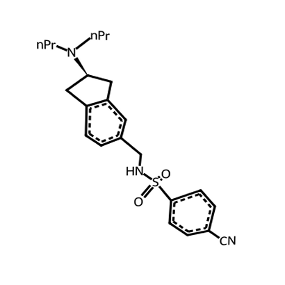 CCCN(CCC)[C@@H]1Cc2ccc(CNS(=O)(=O)c3ccc(C#N)cc3)cc2C1